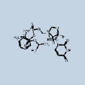 CC(C)OC(=O)[C@@H](C)N[P@](=S)(OC[C@@]12CO[C@@H]([C@H](n3ccc(=O)[nH]c3=O)O1)[C@@H]2O)Oc1ccccc1